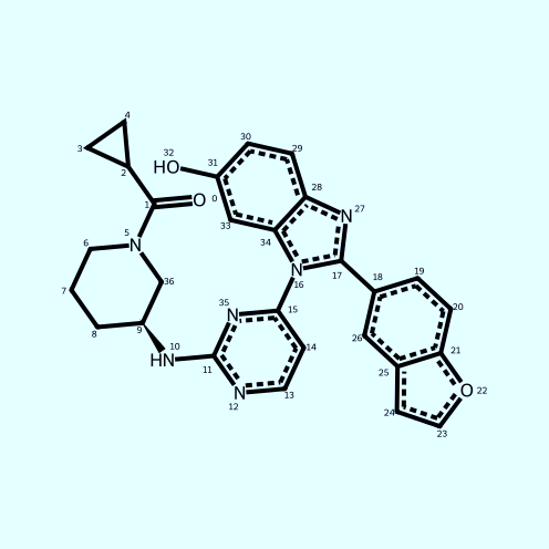 O=C(C1CC1)N1CCC[C@H](Nc2nccc(-n3c(-c4ccc5occc5c4)nc4ccc(O)cc43)n2)C1